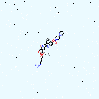 CCc1c2c(nc3ccc(OC(=O)N4CCC(N5CCCCC5)CC4)cc13)-c1cc3c(c(=O)n1C2)COC(=O)[C@@]3(CC)OC(=O)CCCCCN